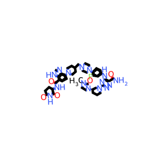 CN1CCN([C@@H]2CCCN(c3nnc(C(N)=O)c(Nc4ccc(N5CCN(CC6CCN(c7ccc(C(=O)NC8CCC(=O)NC8=O)c8[nH]cnc78)CC6)CC5)c(F)c4)n3)C2)C1=O